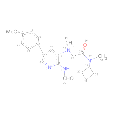 COc1ccc(-c2cnc(NC=O)c(N(C)CC(=O)N(C)C3CCC3)c2)cc1